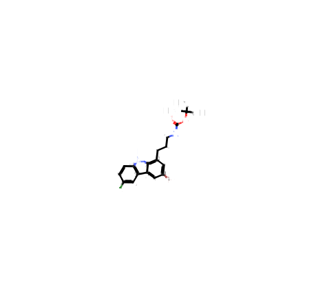 CC(C)(C)OC(=O)NCCCc1cc(Br)cc2c1[nH]c1ccc(Cl)cc12